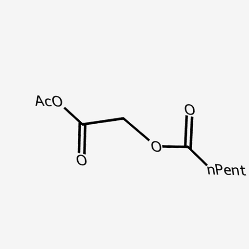 CCCCCC(=O)OCC(=O)OC(C)=O